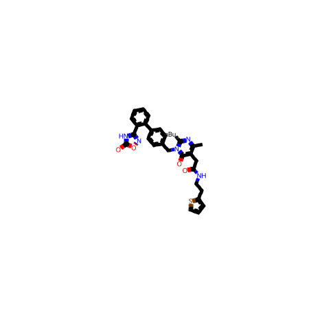 CCCCc1nc(C)c(CC(=O)NCCc2cccs2)c(=O)n1Cc1ccc(-c2ccccc2-c2noc(=O)[nH]2)cc1